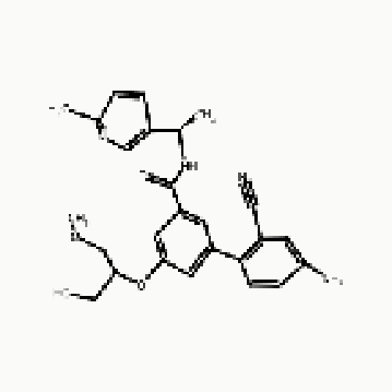 COCC(CO)Oc1cc(C(=O)N[C@H](C)c2ccc(C)nc2)cc(-c2ccc(C)cc2C#N)c1